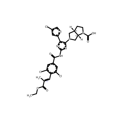 CCOC(=O)/C(C)=C/c1c(Cl)cc(C(=O)Nc2nc(-c3cc(Cl)cs3)c(N3C[C@@H]4CCN(C(=O)O)[C@@H]4C3)s2)cc1Cl